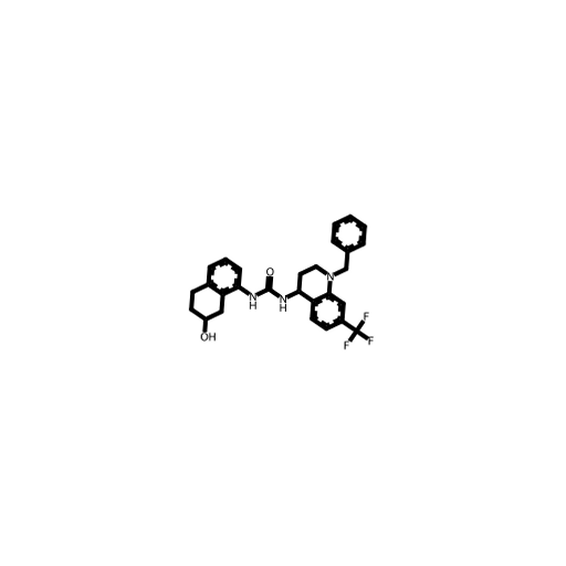 O=C(Nc1cccc2c1CC(O)CC2)NC1CCN(Cc2ccccc2)c2cc(C(F)(F)F)ccc21